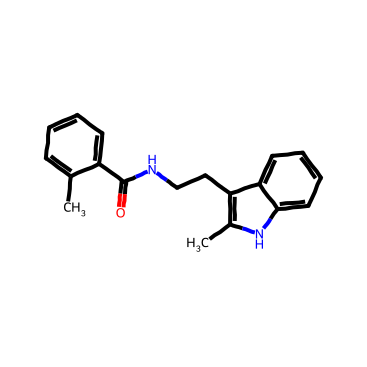 Cc1ccccc1C(=O)NCCc1c(C)[nH]c2ccccc12